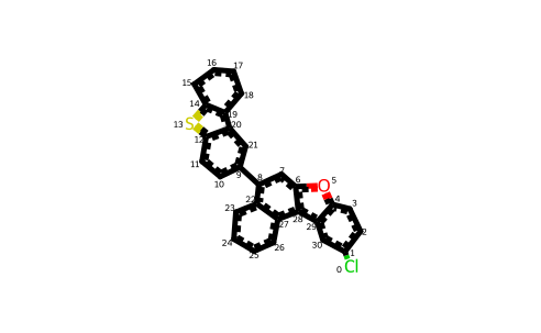 Clc1ccc2oc3cc(-c4ccc5sc6ccccc6c5c4)c4ccccc4c3c2c1